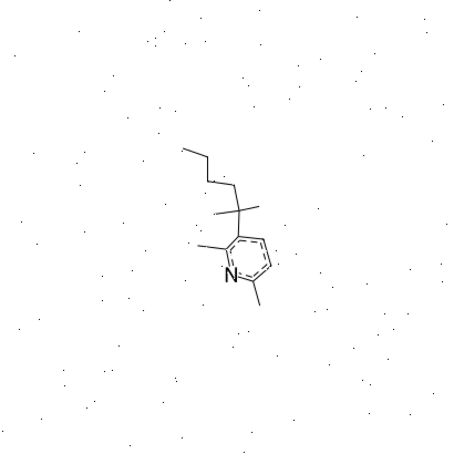 CCCCC(C)(C)c1ccc(C)nc1C